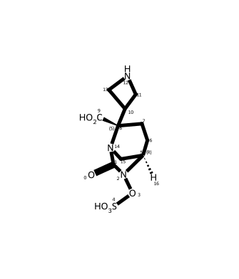 O=C1N(OS(=O)(=O)O)[C@@H]2CC[C@@](C(=O)O)(C3CNC3)N1C2